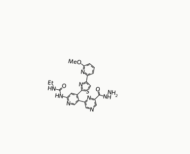 CCNC(=O)Nc1cc(-c2nc(-c3cccc(OC)n3)cs2)c(-c2cncc(C(=O)NN)n2)cn1